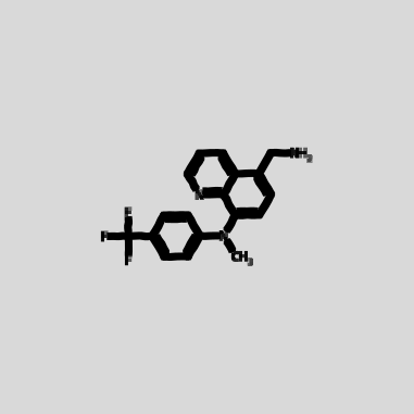 CN(c1ccc(C(F)(F)F)cc1)c1ccc(CN)c2cccnc12